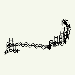 Cc1cc(F)cc(C)c1Oc1ccc(C(C)(C)O)cc1-c1cn(C)c(=O)c2[nH]c(C(=O)Nc3ccc(OCCOCCOCCOCCOCCOCCOCCOCCn4cc(CNC(=O)c5nc(NC(=O)CCNC(=O)c6cc(NC(=O)c7nc(NC(=O)CCNC(=O)c8cc(NC(=O)c9nccn9C)cn8C)cn7C)cn6C)cn5C)nn4)cc3)cc12